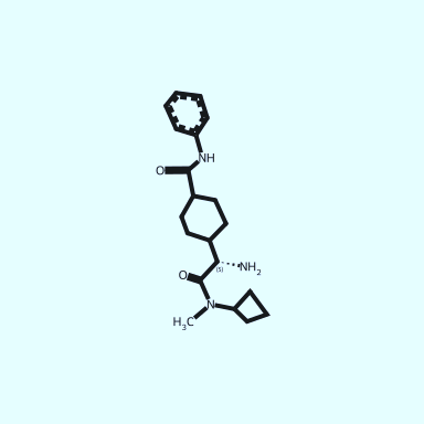 CN(C(=O)[C@@H](N)C1CCC(C(=O)Nc2ccccc2)CC1)C1CCC1